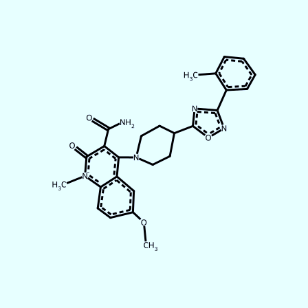 COc1ccc2c(c1)c(N1CCC(c3nc(-c4ccccc4C)no3)CC1)c(C(N)=O)c(=O)n2C